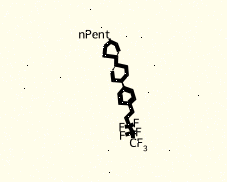 CCCCC[C@H]1CC[C@H]([C@H]2CC[C@H](c3ccc(CCC(F)(F)C(F)(F)C(F)(F)F)cc3)CC2)CC1